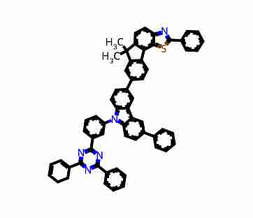 CC1(C)c2cc(-c3ccc4c(c3)c3cc(-c5ccccc5)ccc3n4-c3cccc(-c4nc(C5=CC=CCC5)nc(-c5ccccc5)n4)c3)ccc2-c2c1ccc1nc(-c3ccccc3)sc21